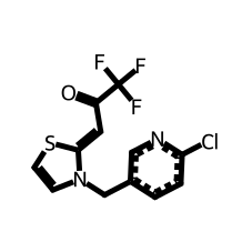 O=C(C=C1SC=CN1Cc1ccc(Cl)nc1)C(F)(F)F